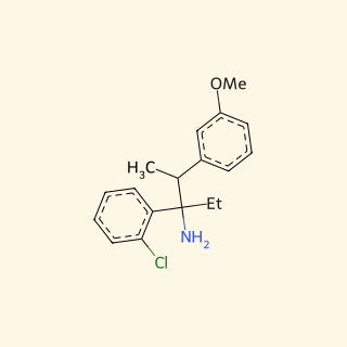 CCC(N)(c1ccccc1Cl)C(C)c1cccc(OC)c1